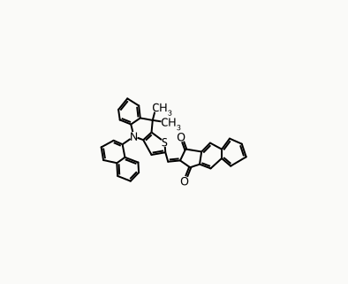 CC1(C)c2ccccc2N(c2cccc3ccccc23)c2cc(C=C3C(=O)c4cc5ccccc5cc4C3=O)sc21